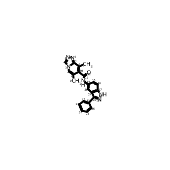 Cc1cn2cnnc2c(C)c1C(=O)Nc1ccc2[nH]nc(-c3ccccc3)c2c1